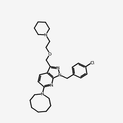 Clc1ccc(Cn2nc(COCCN3CCCCC3)c3ccc(N4CCCCCCC4)nc32)cc1